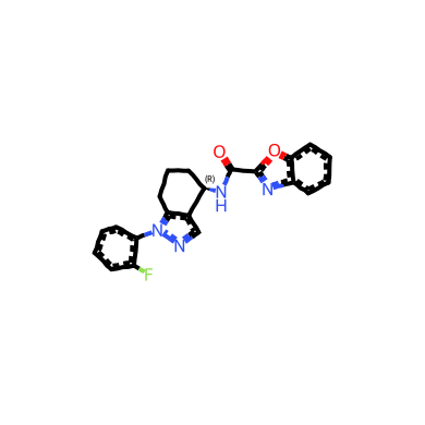 O=C(N[C@@H]1CCCc2c1cnn2-c1ccccc1F)c1nc2ccccc2o1